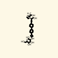 CC(O)c1nccn1C(C#Cc1ccc(-c2ccc(C3CC(NC4C(O)OC(CO)C(O)C4O)C3)cc2)cc1)CO